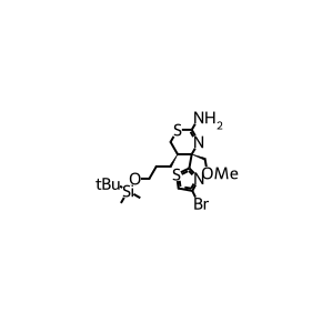 COC[C@]1(c2nc(Br)cs2)N=C(N)SC[C@@H]1CCCO[Si](C)(C)C(C)(C)C